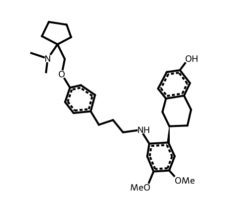 COc1cc(NCCCc2ccc(OCC3(N(C)C)CCCC3)cc2)c([C@@H]2CCc3cc(O)ccc3C2)cc1OC